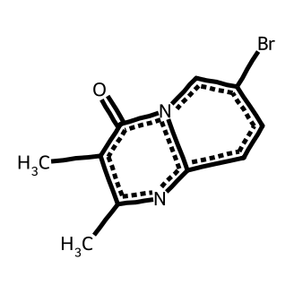 Cc1nc2ccc(Br)cn2c(=O)c1C